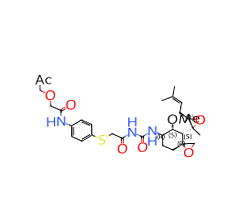 CO[C@H]1[C@H](C2(C)O[C@@H]2CC=C(C)C)[C@]2(CC[C@H]1NC(=O)NC(=O)CSc1ccc(NC(=O)COCC(C)=O)cc1)CO2